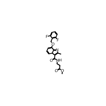 COC(=O)CCNC(=O)C1=C(C)N=C2C(OCc3c(F)cccc3F)=CC=CC21